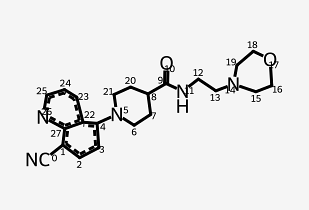 N#Cc1ccc(N2CCC(C(=O)NCCN3CCOCC3)CC2)c2cccnc12